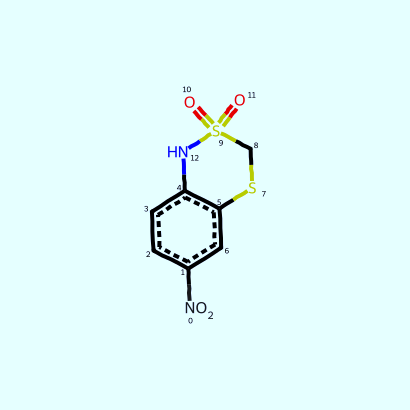 O=[N+]([O-])c1ccc2c(c1)SCS(=O)(=O)N2